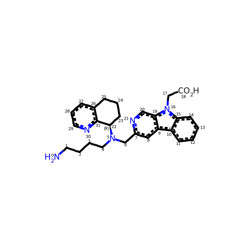 NCCCCN(Cc1cc2c3ccccc3n(CC(=O)O)c2cn1)[C@@H]1CCCc2cccnc21